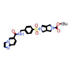 CC(C)(C)OC(=O)N1CC2=CN(S(=O)(=O)c3ccc(CNC(=O)c4ccc5nccn5c4)cc3)CC2C1